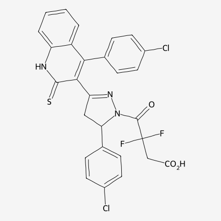 O=C(O)CC(F)(F)C(=O)N1N=C(c2c(-c3ccc(Cl)cc3)c3ccccc3[nH]c2=S)CC1c1ccc(Cl)cc1